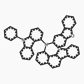 c1ccc(-n2c3ccccc3c3c(N(c4ccc5oc6ccccc6c5c4)c4cccc5ccc6c7ccccc7oc6c45)cccc32)cc1